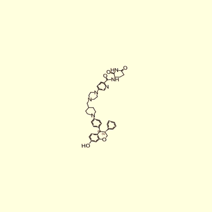 O=C1CCC(NC(=O)c2ccc(N3CCN(CC4CCN(c5ccc([C@@H]6c7ccc(O)cc7OC[C@@H]6c6ccccc6)cc5)CC4)CC3)cn2)C(=O)N1